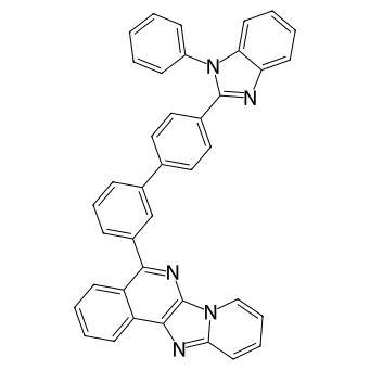 c1ccc(-n2c(-c3ccc(-c4cccc(-c5nc6c(nc7ccccn76)c6ccccc56)c4)cc3)nc3ccccc32)cc1